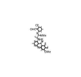 CN/C(=N\c1cccc(Cl)c1C=O)C(C)Nc1ncnc(N)c1C(=N)c1ccc(OC)c(F)c1F